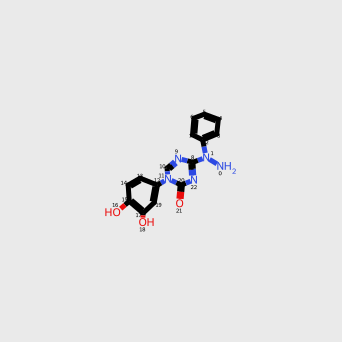 NN(c1ccccc1)c1ncn(-c2ccc(O)c(O)c2)c(=O)n1